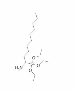 CCCCCCCCCC(N)[Si](OCC)(OCC)OCC